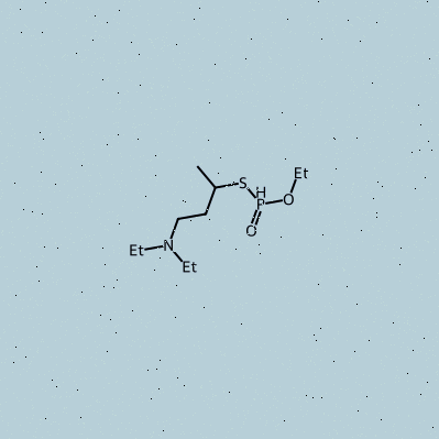 CCO[PH](=O)SC(C)CCN(CC)CC